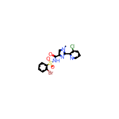 Cn1cc(C(=O)NS(=O)(=O)c2ccccc2Br)nc1-c1ncccc1Cl